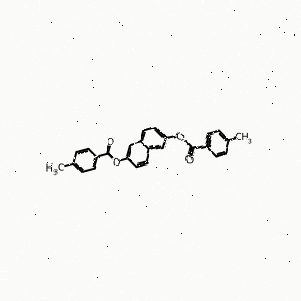 Cc1ccc(C(=O)Oc2ccc3cc(OC(=O)c4ccc(C)cc4)ccc3c2)cc1